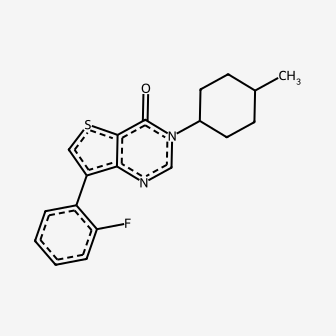 CC1CCC(n2cnc3c(-c4ccccc4F)csc3c2=O)CC1